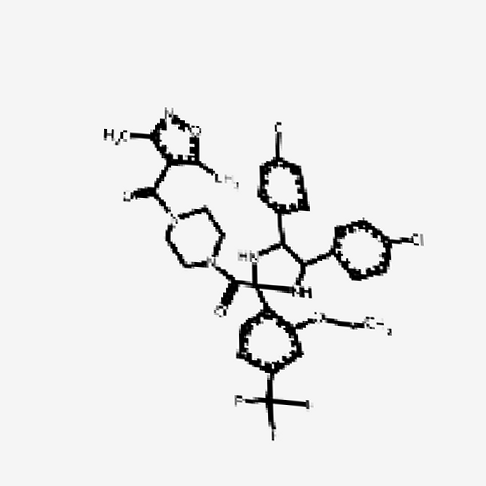 CCOc1cc(C(F)(F)F)ccc1C1(C(=O)N2CCN(C(=O)c3c(C)noc3C)CC2)NC(c2ccc(Cl)cc2)C(c2ccc(Cl)cc2)N1